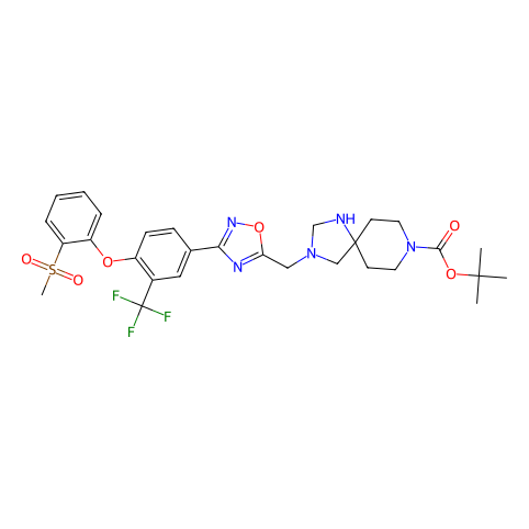 CC(C)(C)OC(=O)N1CCC2(CC1)CN(Cc1nc(-c3ccc(Oc4ccccc4S(C)(=O)=O)c(C(F)(F)F)c3)no1)CN2